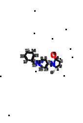 C[C@H]1CCC(=O)N1c1cc[n+](Cc2ccccc2)cc1